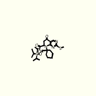 CSc1ncc2c(n1)N(C1(CO[Si](C(C)C)(C(C)C)C(C)C)CCCCC1)C(C(=O)O)CC2=O